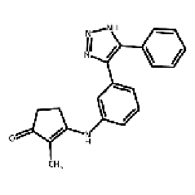 CC1=C(Nc2cccc(-c3nn[nH]c3-c3ccccc3)c2)CCC1=O